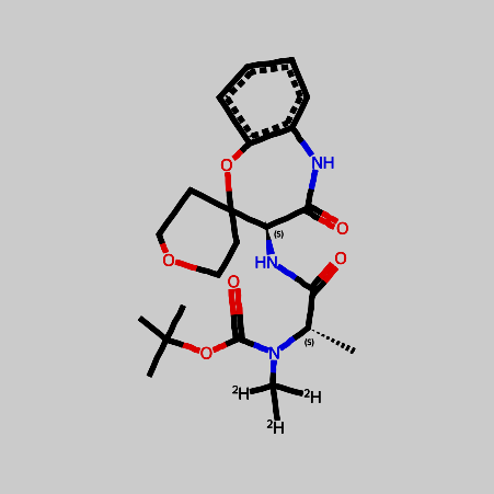 [2H]C([2H])([2H])N(C(=O)OC(C)(C)C)[C@@H](C)C(=O)N[C@@H]1C(=O)Nc2ccccc2OC12CCOCC2